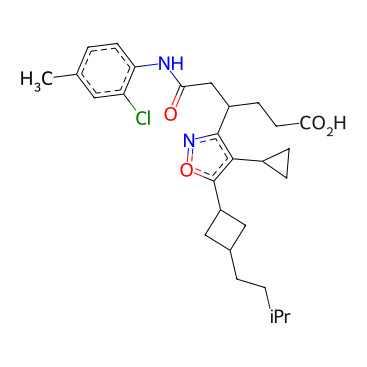 Cc1ccc(NC(=O)CC(CCC(=O)O)c2noc(C3CC(CCC(C)C)C3)c2C2CC2)c(Cl)c1